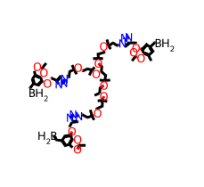 BCc1cc(C)c(OC(C)=O)c(OCc2cn(CCC(C)(C)OCCC(C)(C)OCC(CC(C)(C)OCC(C)OC(C)(C)CCOC(C)(C)CCn3cc(COc4cc(CB)cc(C)c4OC(C)=O)nn3)OC(C)(C)CCOC(C)(C)CCn3cc(COc4cc(CB)cc(C)c4OC(C)=O)nn3)nn2)c1